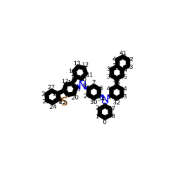 c1ccc(N(c2ccc(-n3c4ccccc4c4cc5c(cc43)sc3ccccc35)cc2)c2cccc(-c3ccc4ccccc4c3)c2)cc1